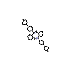 c1ccc2c(c1)/N=C(/c1ccc(-c3ccncc3)cc1)c1ccccc1/N=C\2c1ccc(-c2ccncc2)cc1